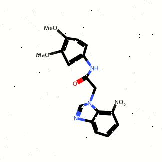 COc1ccc(NC(=O)Cn2cnc3cccc([N+](=O)[O-])c32)cc1OC